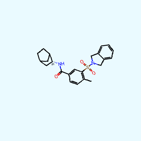 Cc1ccc(C(=O)N[C@@H]2CC3CCC2C3)cc1S(=O)(=O)N1Cc2ccccc2C1